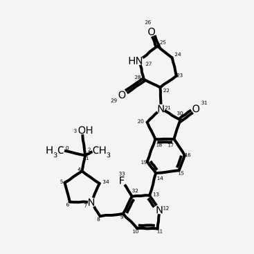 CC(C)(O)C1CCN(Cc2ccnc(-c3ccc4c(c3)CN(C3CCC(=O)NC3=O)C4=O)c2F)C1